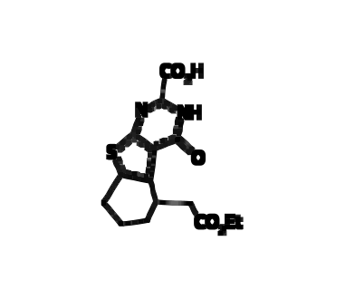 CCOC(=O)CC1CCCc2sc3nc(C(=O)O)[nH]c(=O)c3c21